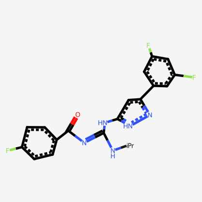 CC(C)N/C(=N/C(=O)c1ccc(F)cc1)Nc1cc(-c2cc(F)cc(F)c2)n[nH]1